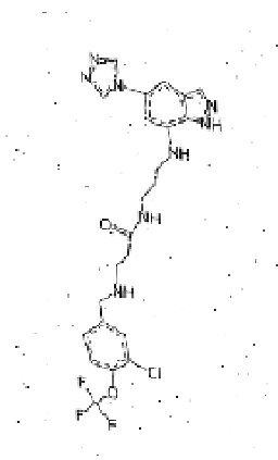 O=C(CCNCc1ccc(OC(F)(F)F)c(Cl)c1)NCCCNc1cc(-n2cnnc2)cc2cn[nH]c12